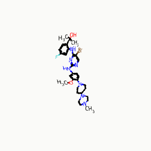 COc1cc(Nc2ncc(Br)c(Nc3cc(F)ccc3C(C)(C)O)n2)ccc1N1CCC(N2CCN(C)CC2)CC1